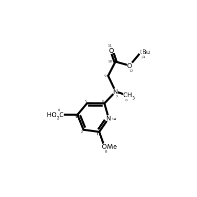 COc1cc(C(=O)O)cc(N(C)CC(=O)OC(C)(C)C)n1